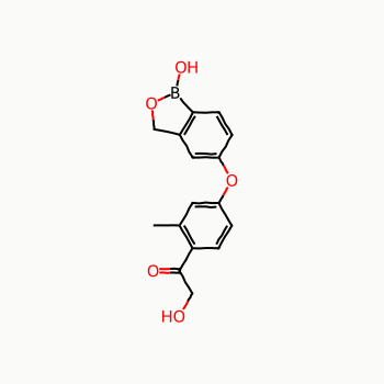 Cc1cc(Oc2ccc3c(c2)COB3O)ccc1C(=O)CO